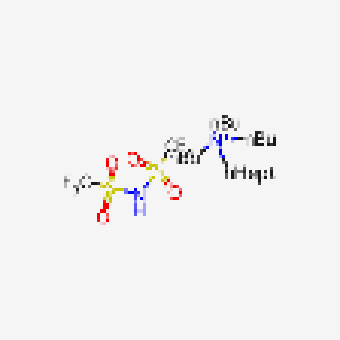 CCCCCCC[N+](CCCC)(CCCC)CCCC.O=S(=O)(NS(=O)(=O)C(F)(F)F)C(F)(F)F